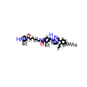 C=CCc1c(-c2cnc3c(Nc4ccc(C(=O)NCCCCCC(=O)N5CCN[C@H](CC)C5)c(CC)c4)nccn23)ccc(OC)c1F